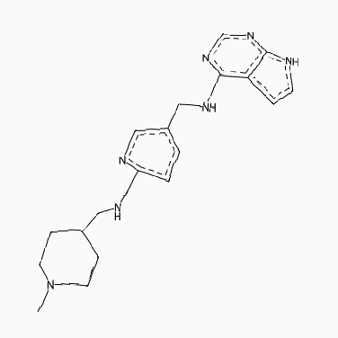 CN1CCC(CNc2ccc(CNc3ncnc4[nH]ccc34)cn2)CC1